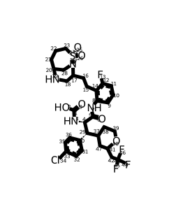 O=C(O)N[C@H](C(=O)Nc1cccc(F)c1CCC1CNC2CCCS(=O)(=O)N1C2)[C@@H](c1ccc(Cl)cc1)C1CCOC(CC(F)(F)F)C1